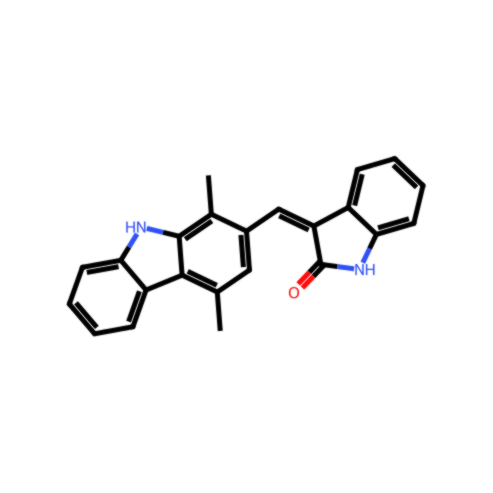 Cc1c(/C=C2\C(=O)Nc3ccccc32)cc(C)c2c1[nH]c1ccccc12